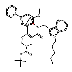 COCCCn1cc(CN(C(=O)C2=C(c3cc(OC)cc(-c4ccccc4)c3)CCN(C(=O)OC(C)(C)C)C2)C2CC2)c2ccccc21